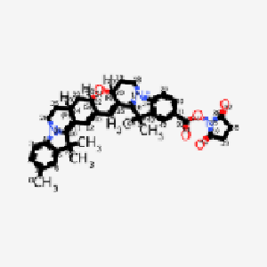 Cc1ccc2c(c1)C(C)(C)C1=C3C=C4C=C5C6=[N+](CC[C@H]5O[C@H]4C[C@H]3CCN12)c1ccc(C(=O)ON2C(=O)CCC2=O)cc1C6(C)C